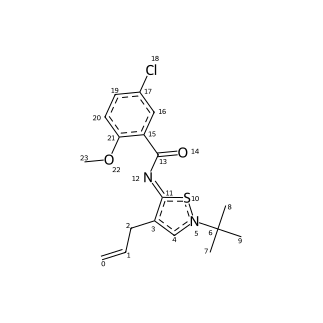 C=CCc1cn(C(C)(C)C)sc1=NC(=O)c1cc(Cl)ccc1OC